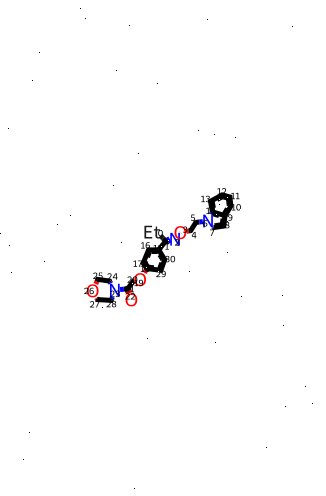 CC/C(=N\OCCn1ccc2ccccc21)c1ccc(OCC(=O)N2CCOCC2)cc1